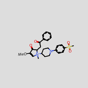 COC1=C[N+](C)(C2CCN(c3ccc(S(C)(=O)=O)cc3)CC2)C(CC(=O)c2ccccc2)C1=O